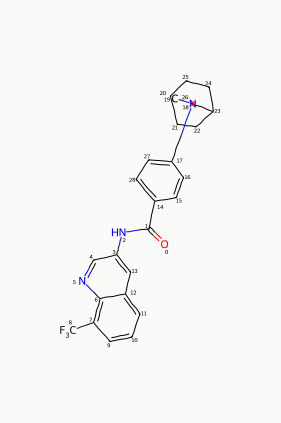 O=C(Nc1cnc2c(C(F)(F)F)cccc2c1)c1ccc(N2CC3CCC(CC3)C2)cc1